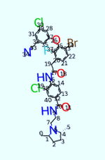 CC1CC[C@@H](C)N1CCNC(=O)c1ccc(NC(=O)Cc2ccc(Br)c(Oc3cc(Cl)cc(C#N)c3)c2F)c(Cl)c1